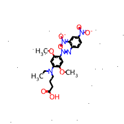 CCN(CCCC(=O)O)c1cc(OC)c(N=Nc2ccc([N+](=O)[O-])cc2[N+](=O)[O-])cc1OC